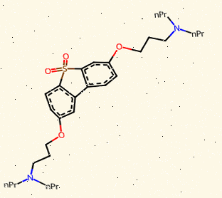 CCCN(CCC)CCCOc1ccc2c(c1)-c1ccc(OCCCN(CCC)CCC)cc1S2(=O)=O